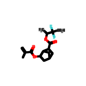 C=C(C)C(=O)OC1CC2CC(C(=O)OC(C(F)(F)F)C(F)(F)S(=O)(=O)O)C1C2